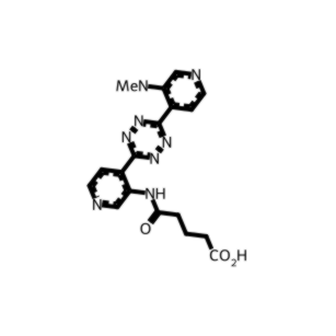 CNc1cnccc1-c1nnc(-c2ccncc2NC(=O)CCCC(=O)O)nn1